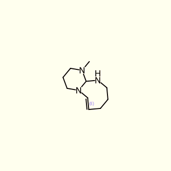 CN1CCCN2/C=C/CCCNC12